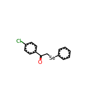 O=C(C[Se]c1ccccc1)c1ccc(Cl)cc1